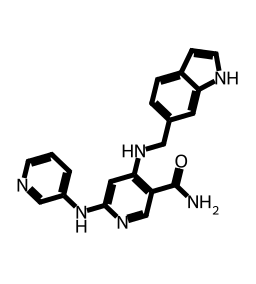 NC(=O)c1cnc(Nc2cccnc2)cc1NCc1ccc2cc[nH]c2c1